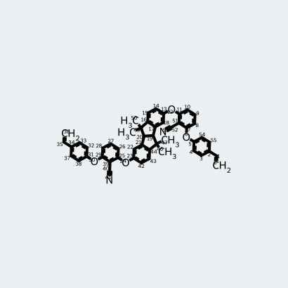 C=Cc1ccc(Oc2cccc(Oc3ccc4c(c3)C3C(c5cc(Oc6cccc(Oc7ccc(C=C)cc7)c6C#N)ccc5C3(C)C)C4(C)C)c2C#N)cc1